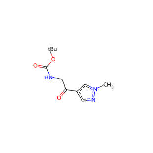 Cn1cc(C(=O)CNC(=O)OC(C)(C)C)cn1